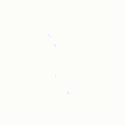 Cc1ccc2c3ccccc3n(-c3cccc(-c4ccc5c(-c6ccc(-c7cc(-c8ccccc8)nc(C8=CCCC=C8)n7)cc6)cccc5c4)c3)c2c1